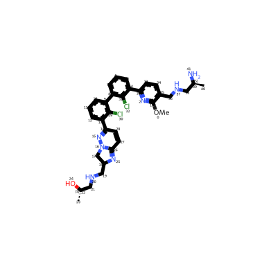 COc1nc(-c2cccc(-c3cccc(C4=NN5CC(CNC[C@H](C)O)N=C5C=C4)c3Cl)c2Cl)ccc1CNC[C@H](C)N